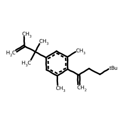 C=C(CCC(C)(C)C)c1c(C)cc(C(C)(C)C(=C)C)cc1C